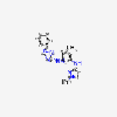 Cc1cc(Nc2ccn(C(C)C)n2)cc(Nc2ncn(-c3ccccc3)n2)c1